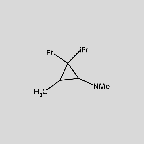 CCC1(C(C)C)C(C)C1NC